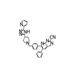 N#Cc1ncc2cc(-c3ccccc3)c(-c3ccc(CN4CCC(c5nnc(-c6ccccn6)[nH]5)CC4)cc3)nc2n1